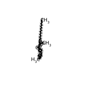 CCCCCCCCCCCCCCCCOCC(COC(=O)c1ccc(CN2[CH]N(CC)C=C2)cc1)OCC